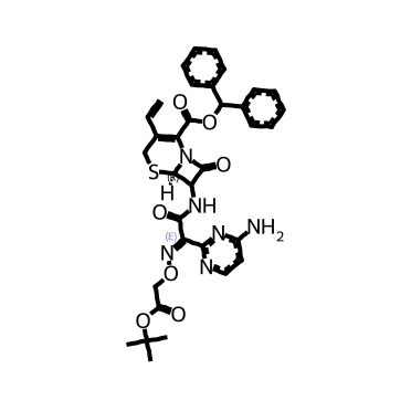 C=CC1=C(C(=O)OC(c2ccccc2)c2ccccc2)N2C(=O)C(NC(=O)/C(=N/OCC(=O)OC(C)(C)C)c3nccc(N)n3)[C@H]2SC1